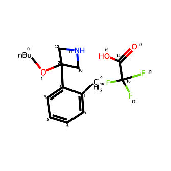 CCCCOC1(c2ccccc2C)CNC1.O=C(O)C(F)(F)F